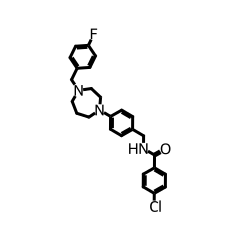 O=C(NCc1ccc(N2CCCN(Cc3ccc(F)cc3)CC2)cc1)c1ccc(Cl)cc1